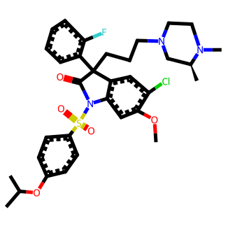 COc1cc2c(cc1Cl)C(CCCN1CCN(C)[C@@H](C)C1)(c1ccccc1F)C(=O)N2S(=O)(=O)c1ccc(OC(C)C)cc1